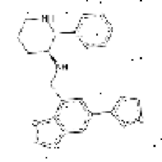 c1ccc([C@@H]2NCCC[C@@H]2NCc2cc(-c3ccoc3)cc3ccoc23)cc1